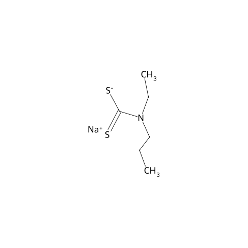 CCCN(CC)C(=S)[S-].[Na+]